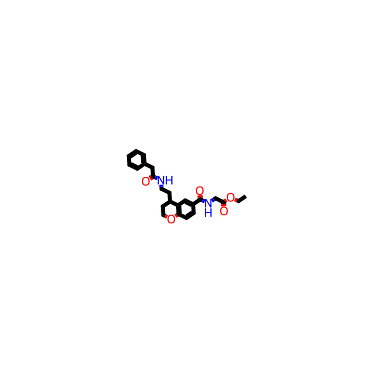 CCOC(=O)CNC(=O)c1ccc2c(c1)C(CCNC(=O)Cc1ccccc1)CCO2